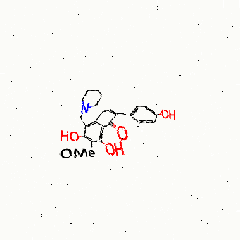 COc1c(O)c(CN2CCCCC2)c2c(c1O)C(=O)C(c1ccc(O)cc1)=CC2